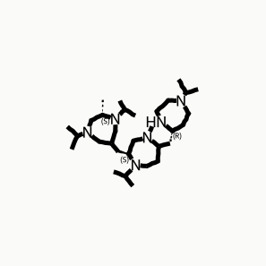 CC(C)N1CCN[C@@H](CC2CCN(C(C)C)[C@@H](CC3CN(C(C)C)C[C@H](C)N(C(C)C)C3)CN2C)CC1